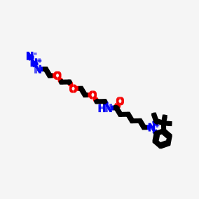 CC1=[N+](CCCCCC(=O)NCCOCCOCCOCCN=[N+]=[N-])c2ccccc2C1(C)C